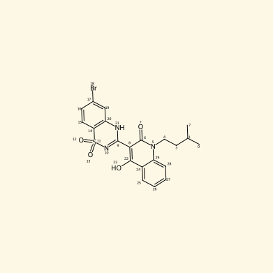 CC(C)CCn1c(=O)c(C2=NS(=O)(=O)c3ccc(Br)cc3N2)c(O)c2ccccc21